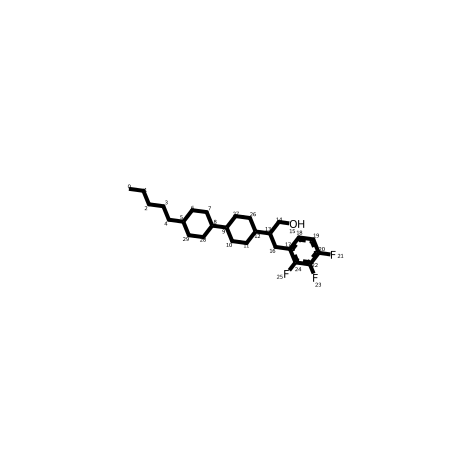 CCCCCC1CCC(C2CCC(C(CO)Cc3ccc(F)c(F)c3F)CC2)CC1